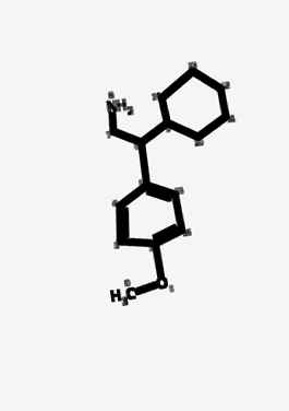 COc1ccc(C(CN)C2CCCCC2)cc1